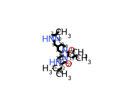 Cc1c[nH]c(CC2CCN(C(=O)[C@H](CC(C)C)N3CCN[C@@H](CC(C)C)C3=O)CC2)n1